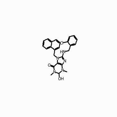 CN1C(=O)c2c(nc(NCc3ccccc3Cl)n2Cc2cccc3ccccc23)N(C)C1O